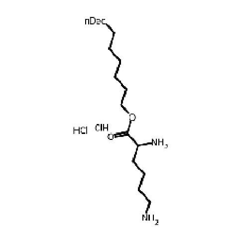 CCCCCCCCCCCCCCCCOC(=O)C(N)CCCCN.Cl.Cl